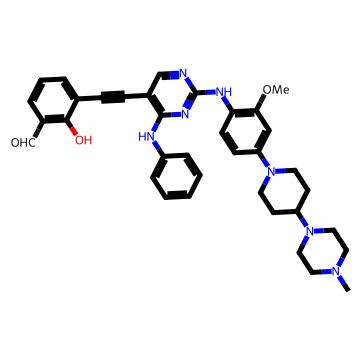 COc1cc(N2CCC(N3CCN(C)CC3)CC2)ccc1Nc1ncc(C#Cc2cccc(C=O)c2O)c(Nc2ccccc2)n1